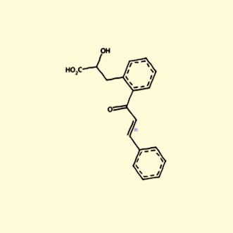 O=C(/C=C/c1ccccc1)c1ccccc1CC(O)C(=O)O